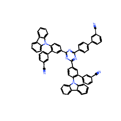 N#Cc1cccc(-c2ccc(-c3nc(-c4ccc(-n5c6ccccc6c6ccccc65)c(-c5cccc(C#N)c5)c4)nc(-c4ccc(-n5c6ccccc6c6ccccc65)c(-c5cccc(C#N)c5)c4)n3)cc2)c1